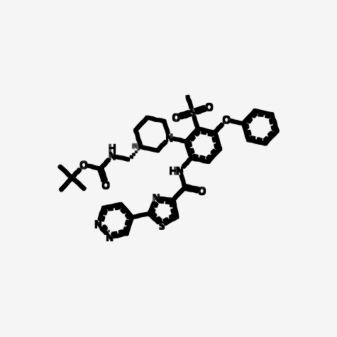 CC(C)(C)OC(=O)NC[C@@H]1CCCN(c2c(NC(=O)c3csc(-c4ccnnc4)n3)ccc(Oc3ccccc3)c2S(C)(=O)=O)C1